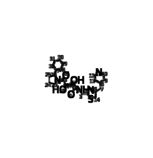 O=C(NCc1nc(Cc2ccncc2)cs1)[C@H](O)[C@@H](O)C(=O)N1CCCC1c1ccccc1